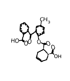 Cc1ccc(OC(=O)[C@@H]2CC=CC[C@@H]2C(=O)O)c(C(=O)c2ccccc2C(=O)O)c1